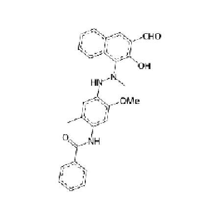 COc1cc(NC(=O)c2ccccc2)c(C)cc1NN(C)c1c(O)c(C=O)cc2ccccc12